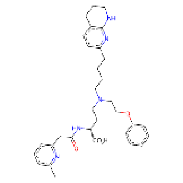 Cc1cccc(CC(=O)N[C@@H](CCN(CCCCc2ccc3c(n2)NCCC3)CCOc2ccccc2)C(=O)O)n1